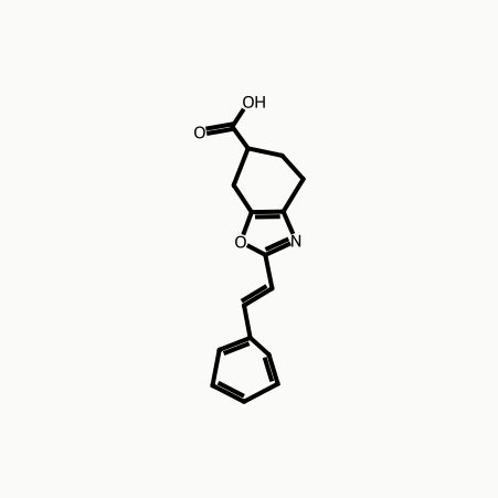 O=C(O)C1CCc2nc(C=Cc3ccccc3)oc2C1